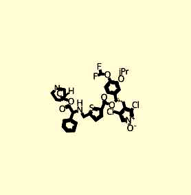 CC(C)Oc1cc([C@H](Cc2c(Cl)c[n+]([O-])cc2Cl)OC(=O)c2ccc(CNC(C(=O)O[C@H]3CN4CCC3CC4)c3ccccc3)s2)ccc1OC(F)F